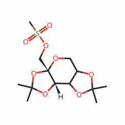 CC1(C)OC2CO[C@@]3(COS(C)(=O)=O)OC(C)(C)O[C@H]3C2O1